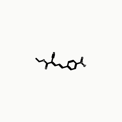 CCOC(=O)/C(C#N)=C/C=C/c1ccc([N+](=O)[O-])cc1